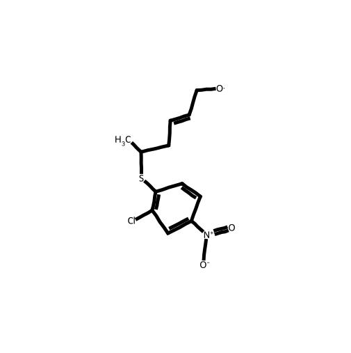 CC(C/C=C/C[O])Sc1ccc([N+](=O)[O-])cc1Cl